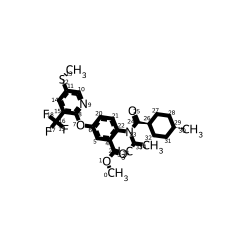 COC(=O)c1cc(Oc2ncc(SC)cc2C(F)(F)F)ccc1N(C(=O)[C@H]1CC[C@H](C)CC1)C(C)C